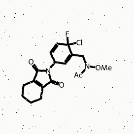 CON(CC1=CC(N2C(=O)C3=C(CCCC3)C2=O)C=CC1(F)Cl)C(C)=O